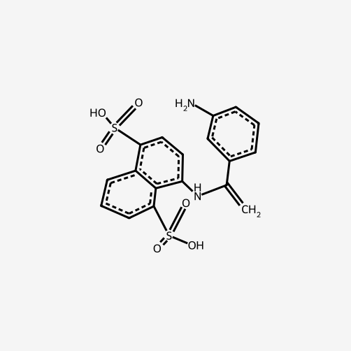 C=C(Nc1ccc(S(=O)(=O)O)c2cccc(S(=O)(=O)O)c12)c1cccc(N)c1